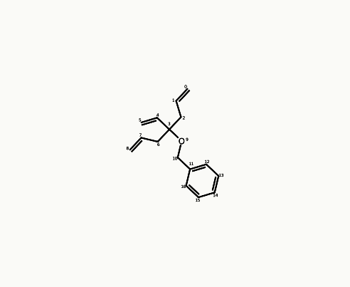 C=CCC(C=C)(CC=C)OCc1ccccc1